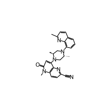 Cc1ccc2cccc(N3C[C@H](C)N(c4cc(=O)n(C)c5ccc(C#N)nc45)C[C@H]3C)c2n1